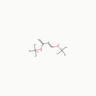 C=C(/C=C/O[Si](C)(C)C)O[Si](C)(C)C